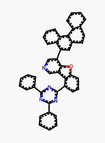 c1ccc(-c2nc(-c3ccccc3)nc(-c3cccc4oc5c(-c6cc7ccc8ccccc8c7c7ccccc67)cncc5c34)n2)cc1